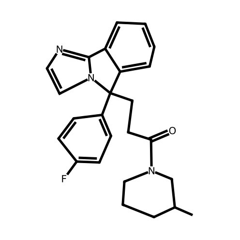 CC1CCCN(C(=O)CCC2(c3ccc(F)cc3)c3ccccc3-c3nccn32)C1